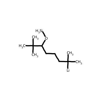 [Li][C](C)(C)CCCC(O[SiH3])C(C)(C)C